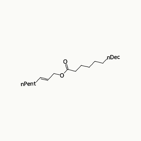 CCCCCC=CCOC(=O)CCCCCCCCCCCCCCC